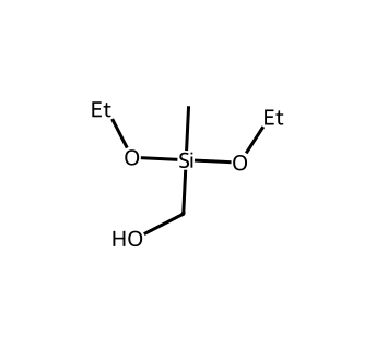 CCO[Si](C)(CO)OCC